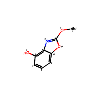 CC(C)(C)Oc1nc2c(O)cccc2o1